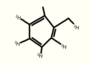 [2H]Cc1c([2H])c([2H])c([2H])c([2H])c1C